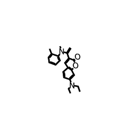 C=C(c1cc2ccc(N(CC)CC)cc2oc1=O)N(C)c1ccccc1C